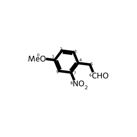 COc1ccc(CC=O)c([N+](=O)[O-])c1